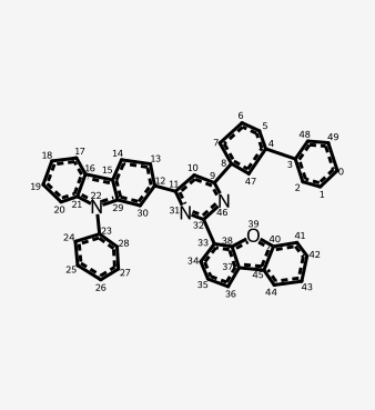 c1ccc(-c2cccc(-c3cc(-c4ccc5c6ccccc6n(-c6ccccc6)c5c4)nc(-c4cccc5c4oc4ccccc45)n3)c2)cc1